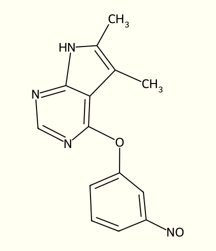 Cc1[nH]c2ncnc(Oc3cccc(N=O)c3)c2c1C